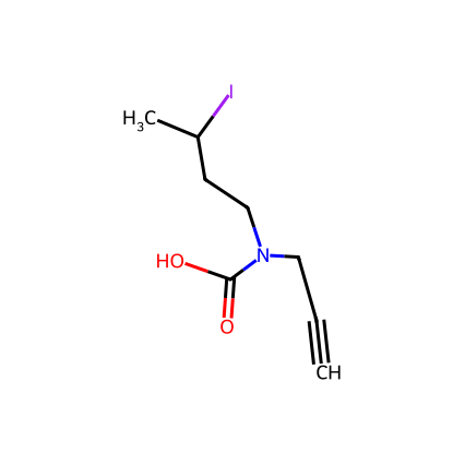 C#CCN(CCC(C)I)C(=O)O